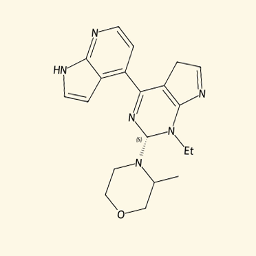 CCN1C2=C(CC=N2)C(c2ccnc3[nH]ccc23)=N[C@H]1N1CCOCC1C